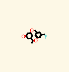 Cc1cc(CF)cc(OC(C)C2CC(=O)CC(=O)C2)c1